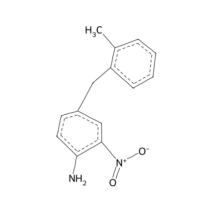 Cc1ccccc1Cc1ccc(N)c([N+](=O)[O-])c1